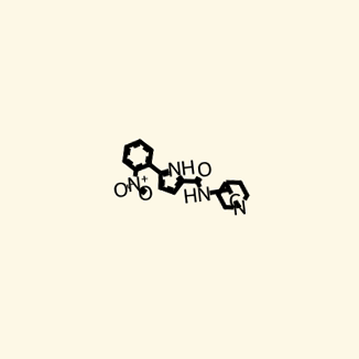 O=C(NC1CN2CCC1CC2)c1ccc(-c2ccccc2[N+](=O)[O-])[nH]1